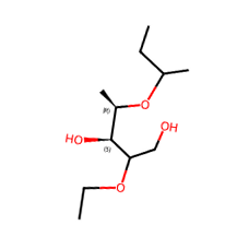 CCOC(CO)[C@@H](O)[C@@H](C)OC(C)CC